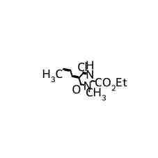 C/C=C\C=C(/C(=N)Cl)C(=O)N(C)CC(=O)OCC